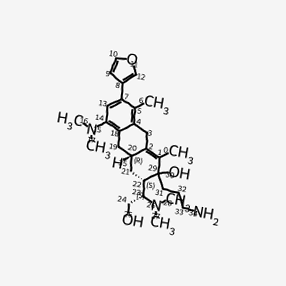 CC1=C2Cc3c(C)c(-c4ccoc4)cc(N(C)C)c3C[C@H]2C[C@@H]([C@@H](CO)N(C)C)C1(O)CCCN